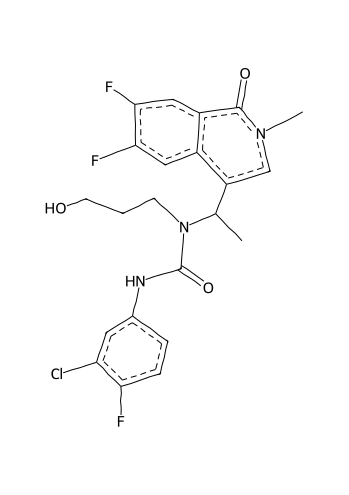 CC(c1cn(C)c(=O)c2cc(F)c(F)cc12)N(CCCO)C(=O)Nc1ccc(F)c(Cl)c1